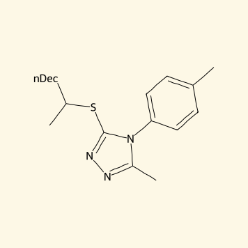 CCCCCCCCCCC(C)Sc1nnc(C)n1-c1ccc(C)cc1